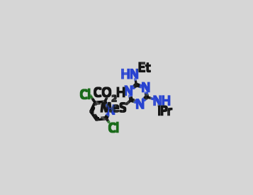 CCNc1nc(NC(C)C)nc(SC)n1.O=C(O)c1nc(Cl)ccc1Cl